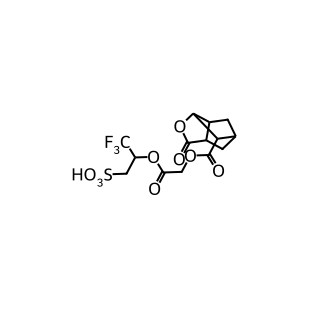 O=C(COC(=O)C1C2CC3C(=O)OC1C3C2)OC(CS(=O)(=O)O)C(F)(F)F